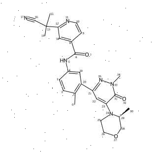 Cc1ccc(NC(=O)c2ccnc(C(C)(C)C#N)c2)cc1-c1cc(N2CCOC[C@@H]2C)c(=O)n(C)n1